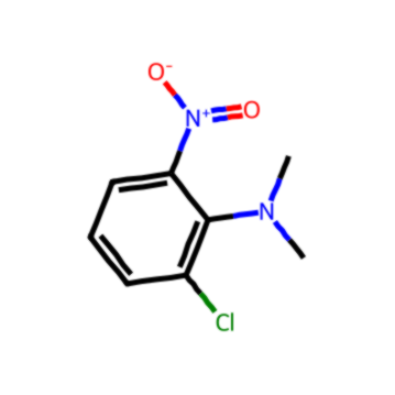 CN(C)c1c(Cl)cccc1[N+](=O)[O-]